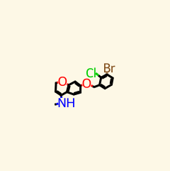 CNC1=CCOc2cc(OCc3cccc(Br)c3Cl)ccc21